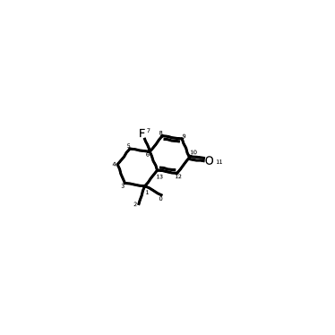 CC1(C)CCCC2(F)C=CC(=O)C=C12